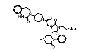 CC(C)(C)CCN1C(=O)[C@H](CC(=O)N2CCC(N3CCc4ccccc4NC3=O)CC2)S[C@H]1c1ccccc1N1CCNCC1=O